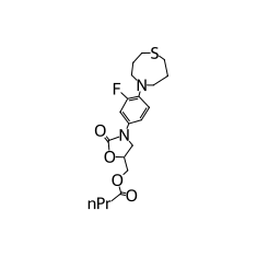 CCCC(=O)OCC1CN(c2ccc(N3CCCSCCC3)c(F)c2)C(=O)O1